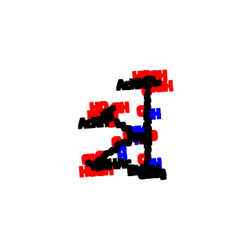 CCC(CC(C)NC(=O)CCCCCNC(=O)C(CCCCNC(=O)CCCCCOC1OC(CO)C(O)C(O)[C@@H]1NC(C)=O)NC(=O)C(CCCCNC(=O)CCCCCOC1OC(CO)C(O)C(O)[C@@H]1NC(C)=O)NC(=O)CCCCCOC1OC(CO)C(O)C(O)[C@@H]1NC(C)=O)OC